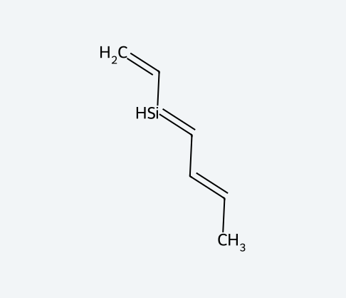 C=C[SiH]=CC=CC